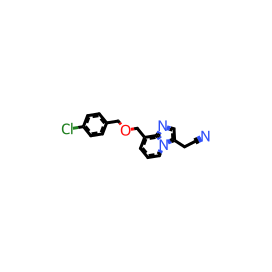 N#CCc1cnc2c(COCc3ccc(Cl)cc3)cccn12